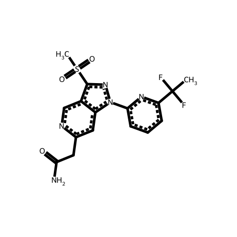 CC(F)(F)c1cccc(-n2nc(S(C)(=O)=O)c3cnc(CC(N)=O)cc32)n1